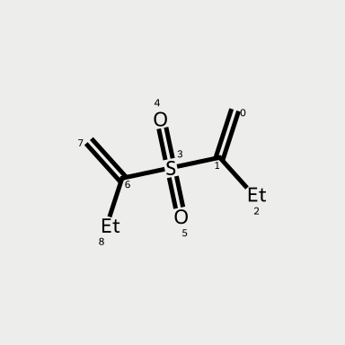 C=C(CC)S(=O)(=O)C(=C)CC